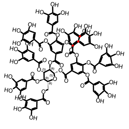 O=C(OC[C@H]1O[C@@H](OC(=O)c2cc(OC(=O)c3cc(O)c(O)c(O)c3)c(OC(=O)c3cc(O)c(O)c(O)c3)c(OC(=O)c3cc(O)c(O)c(O)c3)c2)[C@H](OC(=O)c2cc(OC(=O)c3cc(O)c(O)c(O)c3)c(OC(=O)c3cc(O)c(O)c(O)c3)c(OC(=O)c3cc(O)c(O)c(O)c3)c2)[C@@H](OC(=O)c2cc(O)c(O)c(O)c2)[C@@H]1OC(=O)c1cc(O)c(O)c(O)c1)c1cc(O)c(O)c(O)c1